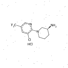 Cl.N[C@H]1CCCN(c2ncc(C(F)(F)F)cc2Cl)C1